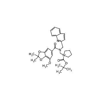 COc1cc(C(=O)N(Cc2ccc3ccccc3n2)C[N+]2(C(=O)OC(C)(C)C)CCCC2)cc2c1OC(C)(C)O2